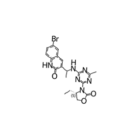 CC[C@H]1COC(=O)N1c1nc(C)nc(NC(C)c2cc3cc(Br)ccc3[nH]c2=O)n1